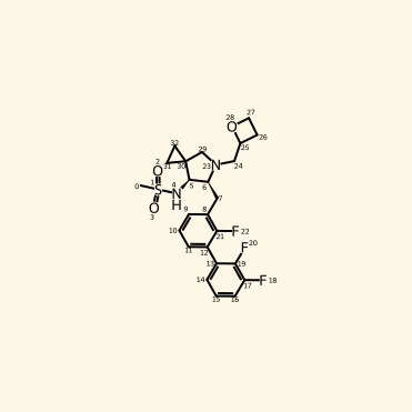 CS(=O)(=O)N[C@@H]1[C@H](Cc2cccc(-c3cccc(F)c3F)c2F)N(CC2CCO2)CC12CC2